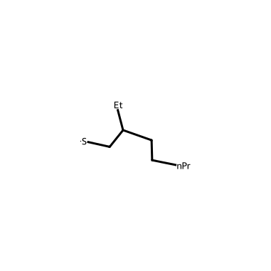 CCCCCC(CC)C[S]